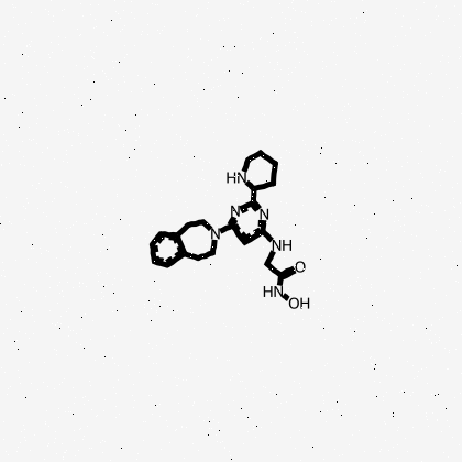 O=C(CNc1cc(N2CCc3ccccc3CC2)nc(C2CCCCN2)n1)NO